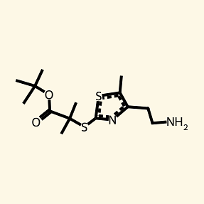 Cc1sc(SC(C)(C)C(=O)OC(C)(C)C)nc1CCN